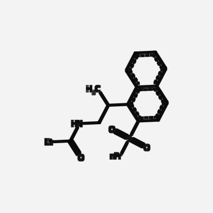 CCCS(=O)(=O)c1ccc2ccccc2c1C(C)CNC(=O)CC